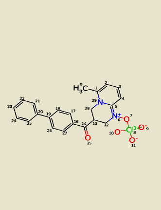 CC1=CC=CC2=[N+](O[Cl+3]([O-])([O-])[O-])CC(C(=O)c3ccc(-c4ccccc4)cc3)CN12